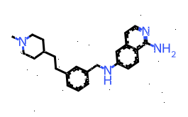 CN1CCC(CCc2cccc(CNc3ccc4c(N)nccc4c3)c2)CC1